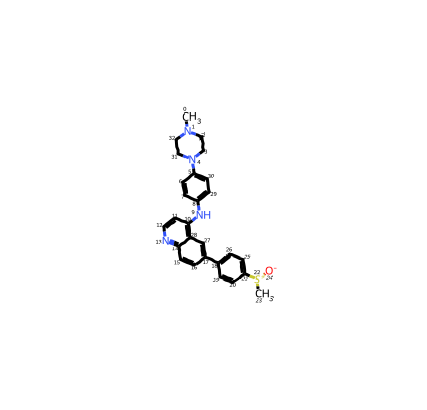 CN1CCN(c2ccc(Nc3ccnc4ccc(-c5ccc([S+](C)[O-])cc5)cc34)cc2)CC1